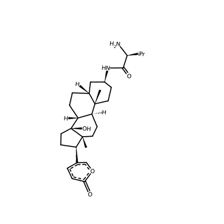 CC(C)[C@H](N)C(=O)N[C@H]1CC[C@@]2(C)[C@H](CC[C@@H]3[C@@H]2CC[C@]2(C)[C@@H](c4ccc(=O)oc4)CC[C@]32O)C1